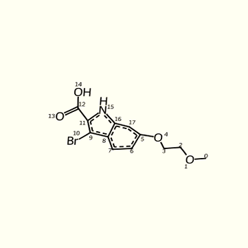 COCCOc1ccc2c(Br)c(C(=O)O)[nH]c2c1